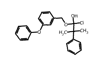 CC(C)(c1ccccc1)C(O)(Cl)OCc1cccc(Oc2ccccc2)c1